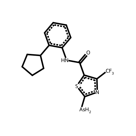 O=C(Nc1ccccc1C1CCCC1)c1sc([AsH2])nc1C(F)(F)F